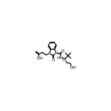 C=C(O)CCn1c(=O)n(C(=O)N[C@H](CCO)C(C)(C)C)c2ccccc21